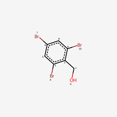 OCc1c(Br)cc(Br)cc1Br